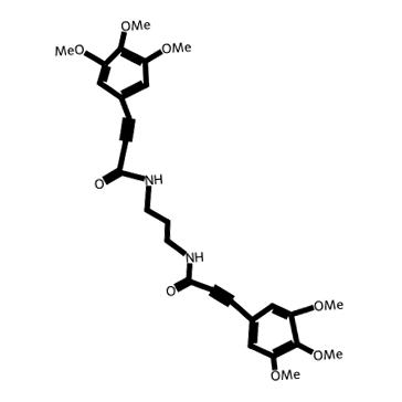 COc1cc(C#CC(=O)NCCCNC(=O)C#Cc2cc(OC)c(OC)c(OC)c2)cc(OC)c1OC